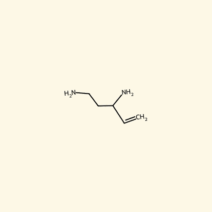 C=CC(N)CCN